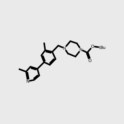 Cc1cc(-c2ccc(CN3CCN(C(=O)OC(C)(C)C)CC3)c(C)c2)ccn1